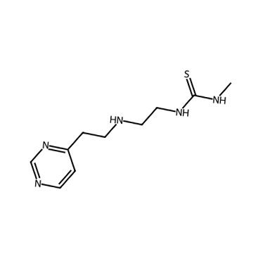 CNC(=S)NCCNCCc1ccncn1